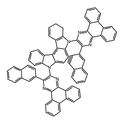 c1c(-c2nc3c4ccccc4c4ccccc4c3nc2-n2c3c(c4c5c6ccccc6n(-c6nc7c8ccccc8c8ccccc8c7nc6-c6ccc7ccccc7c6)c5ccc42)C=CCC3)cc2ccccc2c#1